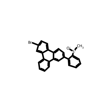 C[S+]([O-])c1ccccc1-c1ccc2c3ccc(Br)cc3c3ccccc3c2c1